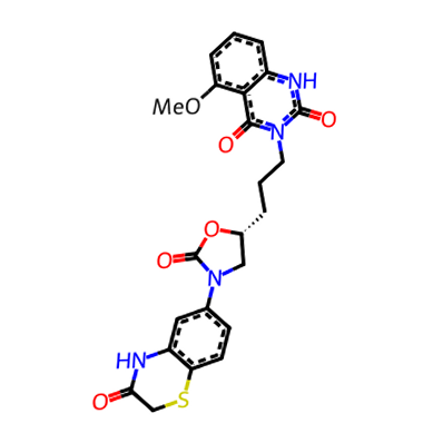 COc1cccc2[nH]c(=O)n(CCC[C@@H]3CN(c4ccc5c(c4)NC(=O)CS5)C(=O)O3)c(=O)c12